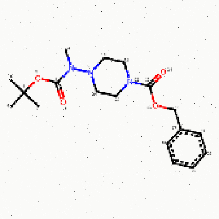 CN(C(=O)OC(C)(C)C)N1CCN(C(=O)OCc2ccccc2)CC1